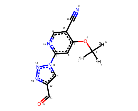 [2H]C([2H])([2H])Oc1cc(-n2cc(C=O)nn2)ncc1C#N